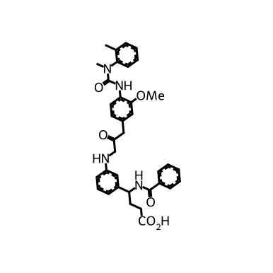 COc1cc(CC(=O)CNc2cccc(C(CCC(=O)O)NC(=O)c3ccccc3)c2)ccc1NC(=O)N(C)c1ccccc1C